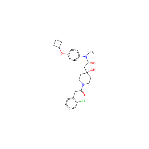 CN(C(=O)CC1(O)CCN(C(=O)Cc2ccccc2Cl)CC1)c1ccc(OC2CCC2)cc1